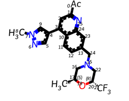 CC(=O)c1cc(-c2cnn(C)c2)c2ccc(CN3C[C@H](C)O[C@@H](C(F)(F)F)C3)cc2n1